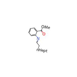 CCCCCCCCC=Nc1ccccc1C(=O)OC